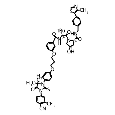 Cc1ncsc1-c1ccc(CNC(=O)[C@@H]2C[C@@H](O)CN2C(=O)[C@@H](NC(=O)c2cccc(OCCCOc3ccc(N4C(=S)N(c5ccc(C#N)c(C(F)(F)F)c5)C(=O)C4(C)C)cc3)c2)C(C)(C)C)cc1